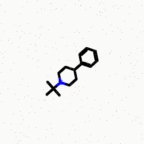 CC(C)(C)N1CCC(c2ccccc2)CC1